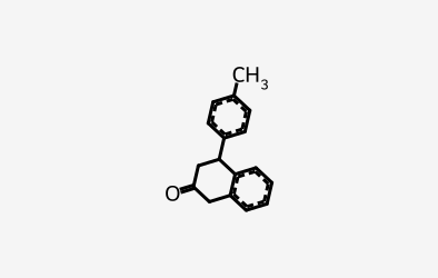 Cc1ccc(C2CC(=O)Cc3ccccc32)cc1